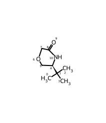 CC(C)(C)[C@H]1COCC(=O)N1